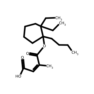 CCCCC1(OC(=O)/C(C)=C\C(=O)O)CCCCC1(CC)CC